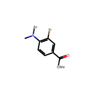 COC(=O)c1ccc(N(C)C(C)=O)c(Br)c1